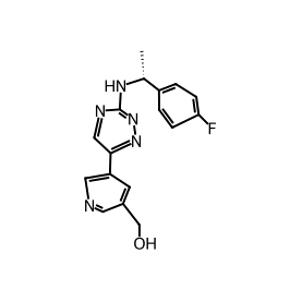 C[C@@H](Nc1ncc(-c2cncc(CO)c2)nn1)c1ccc(F)cc1